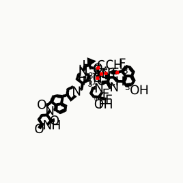 CC(C)[Si](C#Cc1c(F)ccc2cc(O)cc(-c3ncc4c(N5CCC[C@](O)(C(F)(F)F)C5)nc(OCC5(CN6CCC(CN7CCC(c8ccc9c%10c(cccc8%10)N(C8CCC(=O)NC8=O)C9=O)CC7)CC6)CC5)nc4c3F)c12)(C(C)C)C(C)C